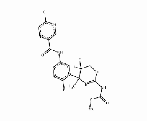 CC(C)(C)OC(=O)NC1=NC(C)(c2cc(NC(=O)c3cnc(Cl)cn3)ccc2F)C(F)(F)CO1